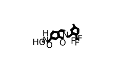 Cc1ccc(C(F)(F)F)c(Cn2ccc3ccc(C(=O)NO)cc3c2=O)c1